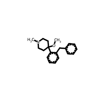 COC1(c2ccccc2Cc2ccccc2)CCN(C)CC1